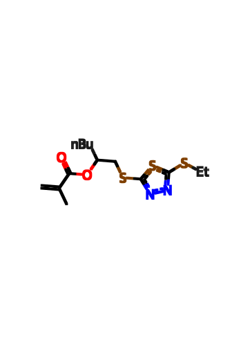 C=C(C)C(=O)OC(CCCC)CSc1nnc(SCC)s1